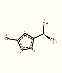 C[C@H](O)c1cc(Cl)ns1